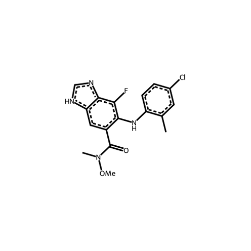 CON(C)C(=O)c1cc2[nH]cnc2c(F)c1Nc1ccc(Cl)cc1C